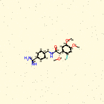 COc1cc(F)c([C@H](OC)C(=O)NCc2ccc(C(=N)N)cc2)cc1OC